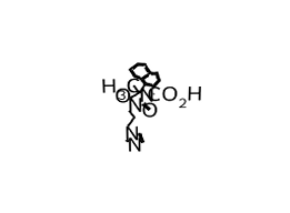 CC1(c2cccc3ccccc23)C(=O)N(CCCn2ccnc2)C(=O)N1C(=O)O